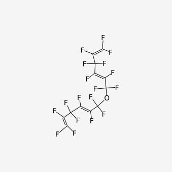 FC(F)=C(F)C(F)(F)C(F)=C(F)C(F)(F)OC(F)(F)C(F)=C(F)C(F)(F)C(F)=C(F)F